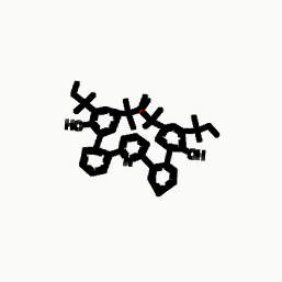 CCC(C)(C)c1cc(-c2ccccc2-c2cccc(-c3ccccc3-c3cc(C(C)(C)CC)cc(C(C)(C)CC)c3O)n2)c(O)c(C(C)(C)CC)c1